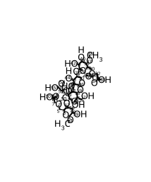 CO[C@@H]1O[C@@H](COCC(=O)O)[C@@H](O[C@@H]2OC(CO)[C@@H](O[C@@H]3O[C@@H](CO)[C@@H](O[C@@H]4OC(COCC(=O)O)[C@@H](OC)C(O)[C@@H]4O)C(O)C3O)C(O)[C@]2(C)OCC(=O)O)C(O)C1O